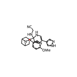 COc1ccc(CN2C3CC2CN(C2(NCC#N)C=CC(c4cn[nH]c4)=CN2)C3)cn1